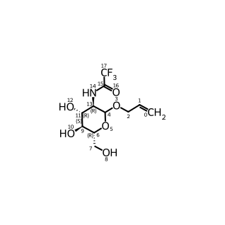 C=CCOC1O[C@H](CO)[C@@H](O)[C@H](O)[C@H]1NC(=O)C(F)(F)F